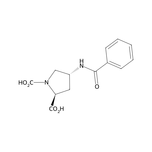 O=C(N[C@@H]1C[C@@H](C(=O)O)N(C(=O)O)C1)c1ccccc1